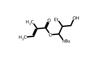 CC=C(C)C(=O)OC(CCCC)C(CC)CO